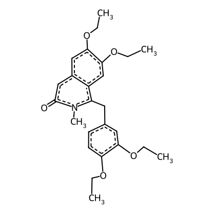 CCOc1ccc(Cc2c3cc(OCC)c(OCC)cc3cc(=O)n2C)cc1OCC